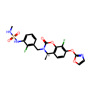 CNS(=O)(=O)Nc1cccc(CN2C(=O)Oc3c(ccc(Oc4ncco4)c3F)[C@H]2C)c1F